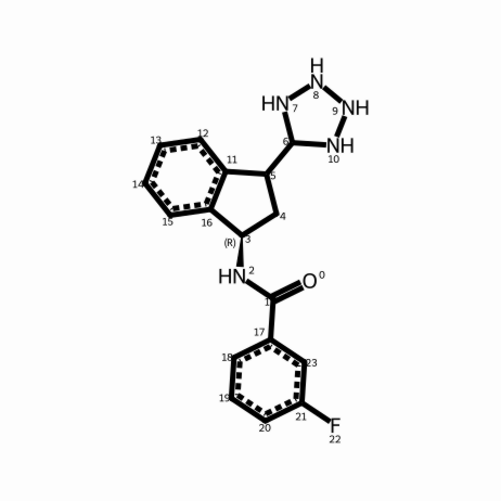 O=C(N[C@@H]1CC(C2NNNN2)c2ccccc21)c1cccc(F)c1